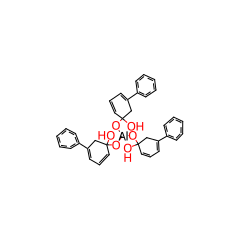 OC1([O][Al]([O]C2(O)C=CC=C(c3ccccc3)C2)[O]C2(O)C=CC=C(c3ccccc3)C2)C=CC=C(c2ccccc2)C1